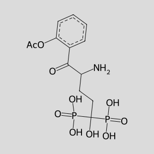 CC(=O)Oc1ccccc1C(=O)C(N)CCC(O)(P(=O)(O)O)P(=O)(O)O